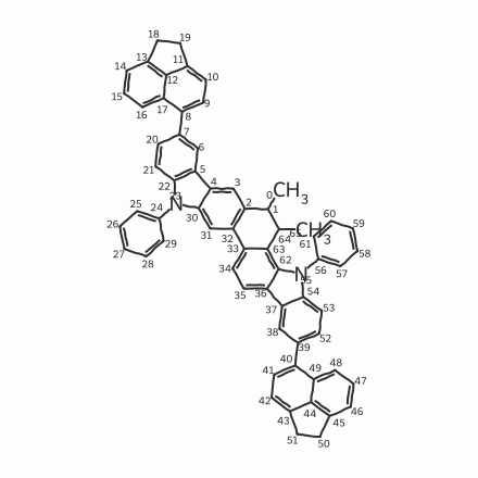 CC1c2cc3c4cc(-c5ccc6c7c(cccc57)CC6)ccc4n(-c4ccccc4)c3cc2-c2ccc3c4cc(-c5ccc6c7c(cccc57)CC6)ccc4n(-c4ccccc4)c3c2C1C